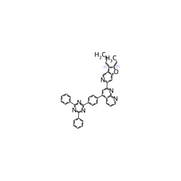 C=C/C=c1\c(=C/C)oc2cc(-c3cc(-c4ccc(-c5nc(-c6ccccc6)nc(-c6ccccc6)n5)cc4)c4cccnc4n3)ncc12